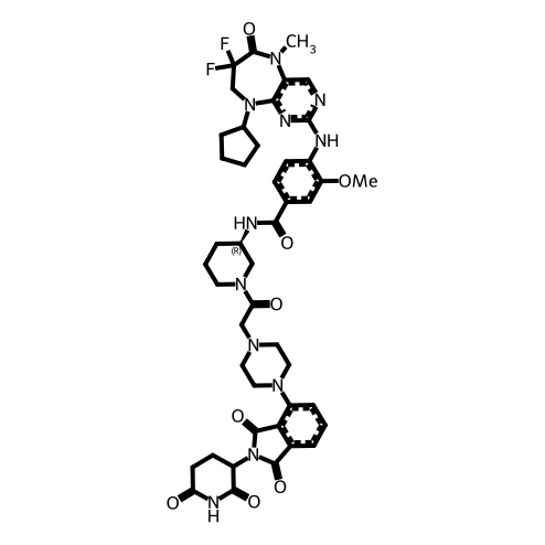 COc1cc(C(=O)N[C@@H]2CCCN(C(=O)CN3CCN(c4cccc5c4C(=O)N(C4CCC(=O)NC4=O)C5=O)CC3)C2)ccc1Nc1ncc2c(n1)N(C1CCCC1)CC(F)(F)C(=O)N2C